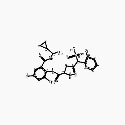 Cc1cc(Cl)cc(C(=O)NC(C)C2CC2)c1NC(=O)C1CC(C(c2ncccc2Cl)S(=O)(=O)O)=NN1